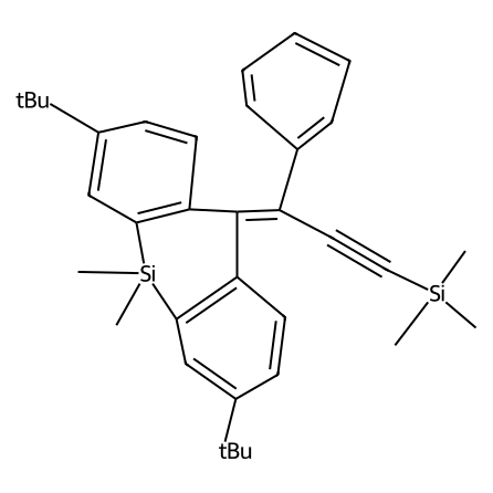 CC(C)(C)c1ccc2c(c1)[Si](C)(C)c1cc(C(C)(C)C)ccc1C2=C(C#C[Si](C)(C)C)c1ccccc1